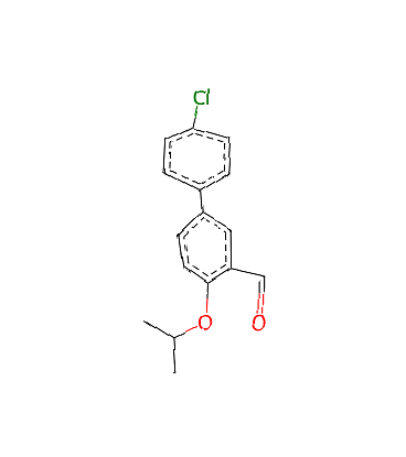 CC(C)Oc1ccc(-c2ccc(Cl)cc2)cc1C=O